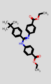 CCOC(=O)c1ccc(/N=C(/Nc2ccc(C(=O)OCC)cc2)c2ccc(C(C)(C)C)cc2)cc1